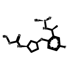 C[C@H](N[S@@+]([O-])C(C)(C)C)c1cc(F)ccc1O[C@H]1CC[C@@H](NC(=O)OC(C)(C)C)C1